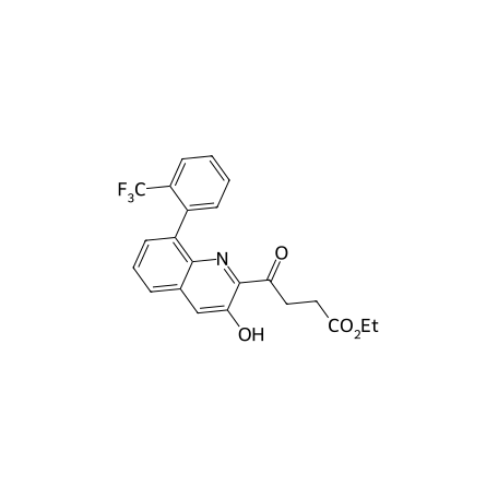 CCOC(=O)CCC(=O)c1nc2c(-c3ccccc3C(F)(F)F)cccc2cc1O